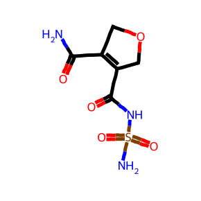 NC(=O)C1=C(C(=O)NS(N)(=O)=O)COC1